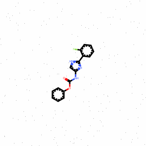 O=C(Nc1c[nH]c(-c2ccccc2F)n1)Oc1ccccc1